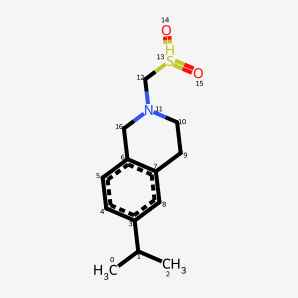 CC(C)c1ccc2c(c1)CCN(C[SH](=O)=O)C2